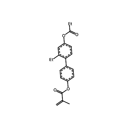 C=C(C)C(=O)Oc1ccc(-c2ccc(OC(=O)CC)cc2CC)cc1